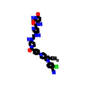 C[C@H]1CC2(CCN(c3ccc(C(=O)N4CCC(NCCNc5ccc(C(=O)N[C@@H]6CCC(=O)NC6=O)nc5)CC4)cc3)CC2)CN1c1ccc(C#N)c(Cl)c1